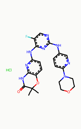 CC1(C)Oc2ccc(Nc3nc(Nc4ccc(N5CCOCC5)nc4)ncc3F)nc2NC1=O.Cl